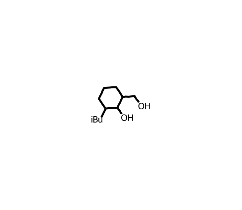 CCC(C)C1CCCC(CO)C1O